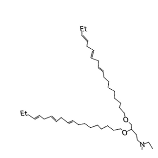 CCC=CCC=CCC=CCCCCCCCCOCC(CCN1CCCC1)OCCCCCCCCC=CCC=CCC=CCC